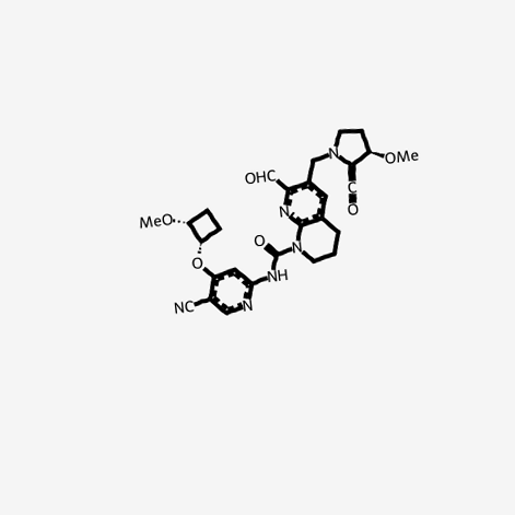 CO[C@@H]1CCN(Cc2cc3c(nc2C=O)N(C(=O)Nc2cc(O[C@H]4CC[C@H]4OC)c(C#N)cn2)CCC3)C1=C=O